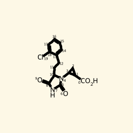 O=C(O)C1CC1N1C(=O)NC(=O)C1CCc1ccccc1Cl